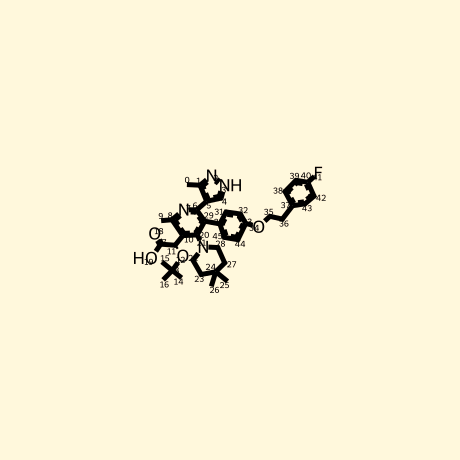 Cc1n[nH]cc1-c1nc(C)c([C@H](OC(C)(C)C)C(=O)O)c(N2CCC(C)(C)CC2)c1-c1ccc(OCCc2ccc(F)cc2)cc1